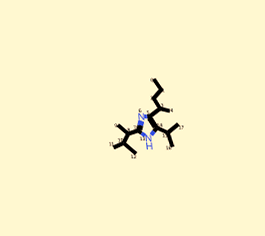 CCCC(C)c1nc(C(C)C(C)C)[nH]c1C(C)C